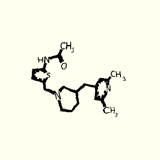 CC(=O)Nc1ccc(CN2CCCC(Cc3cc(C)nc(C)c3)C2)s1